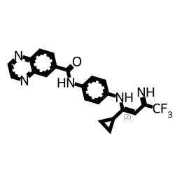 N=C(/C=C(\Nc1ccc(NC(=O)c2ccc3nccnc3c2)cc1)C1CC1)C(F)(F)F